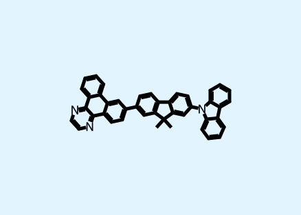 CC1(C)c2cc(-c3ccc4c(c3)c3ccccc3c3nccnc43)ccc2-c2ccc(-n3c4ccccc4c4ccccc43)cc21